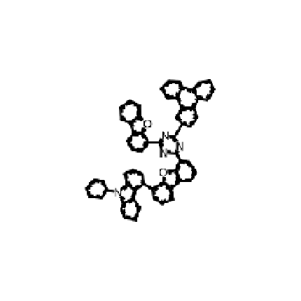 c1ccc(-n2c3ccccc3c3c(-c4cccc5c4oc4c(-c6nc(-c7ccc8c9ccccc9c9ccccc9c8c7)nc(-c7cccc8c7oc7ccccc78)n6)cccc45)cccc32)cc1